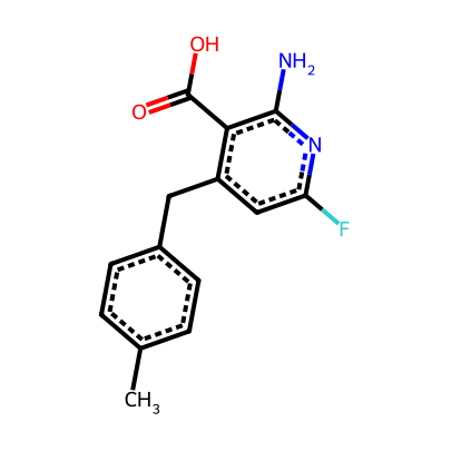 Cc1ccc(Cc2cc(F)nc(N)c2C(=O)O)cc1